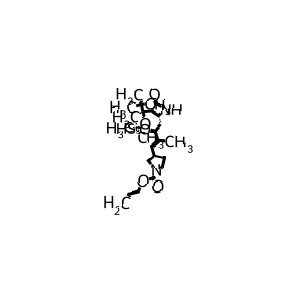 C=CCOC(=O)N1CCC(/C=C(\C)C(=O)C[C@H]2NC(=O)[C@@H]2[C@@](C)(O[SiH](C)C)C(C)(C)C)C1